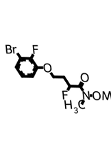 CON(C)C(=O)C(F)CCOc1cccc(Br)c1F